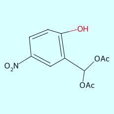 CC(=O)OC(OC(C)=O)c1cc([N+](=O)[O-])ccc1O